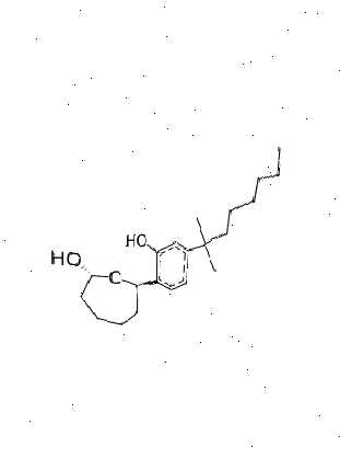 CCCCCCC(C)(C)c1ccc([C@H]2CCCC[C@H](O)C2)c(O)c1